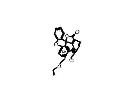 CCOCCNc1c(Cl)ccc2c1C1(OC2=O)c2ccccc2Oc2ccccc21